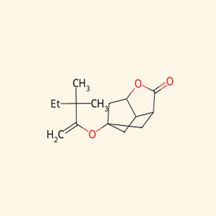 C=C(OC12CC3OC(=O)C(C1)C3C2)C(C)(C)CC